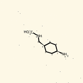 N[C@H]1CC[C@@H](CNC(=O)O)CC1